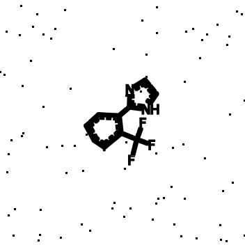 FC(F)(F)c1[c]cccc1-c1ncc[nH]1